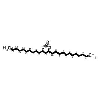 CCCCCCCCCCCCC(CCCCCCCCCCCC)O[N+](=O)[O-]